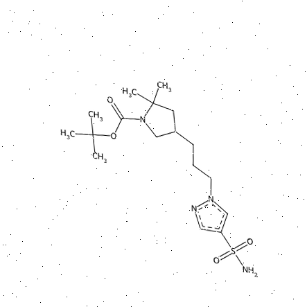 CC(C)(C)OC(=O)N1CC(CCCn2cc(S(N)(=O)=O)cn2)CC1(C)C